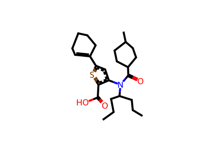 CCCC(CCC)N(C(=O)C1CCC(C)CC1)c1cc(C2=CCCCC2)sc1C(=O)O